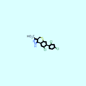 O=C(O)c1n[nH]c2c1CSc1cc(-c3ccc(Cl)cc3Cl)c(Cl)cc1-2